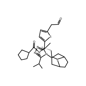 Cc1nnc(C(C)C)n1C1CC2CCC(C1)N2CC[C@H](NC(=O)C1CCCC1)c1ccc(CC=O)s1